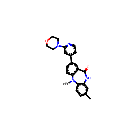 CCCN1c2ccc(C)cc2NC(=O)c2cc(-c3ccnc(N4CCOCC4)c3)ccc21